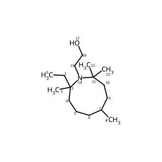 CCC1(C)CCCC(C)CCC(C)(C)N1CCO